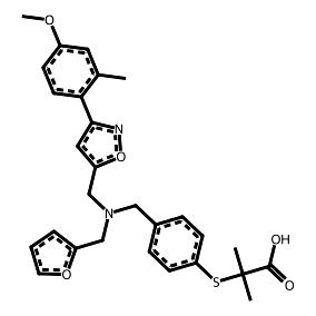 COc1ccc(-c2cc(CN(Cc3ccc(SC(C)(C)C(=O)O)cc3)Cc3ccco3)on2)c(C)c1